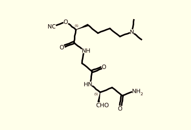 CN(C)CCCC[C@H](OC#N)C(=O)NCC(=O)N[C@H](C=O)CC(N)=O